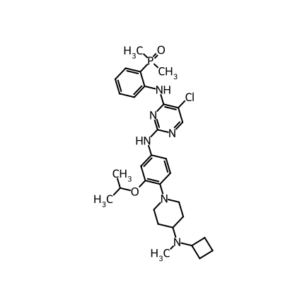 CC(C)Oc1cc(Nc2ncc(Cl)c(Nc3ccccc3P(C)(C)=O)n2)ccc1N1CCC(N(C)C2CCC2)CC1